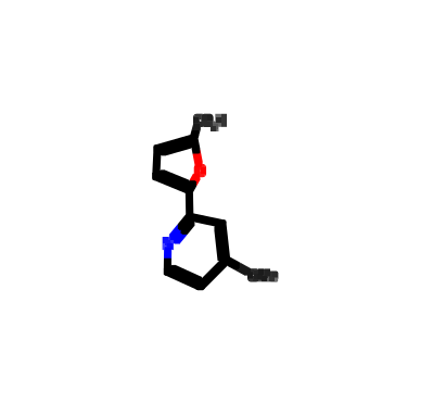 COc1ccnc(-c2ccc(C(=O)O)o2)c1